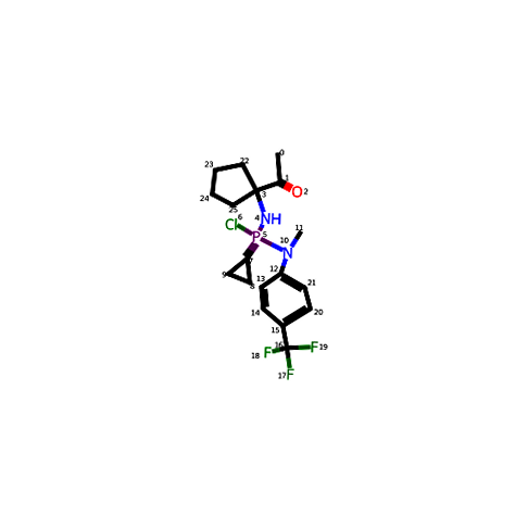 CC(=O)C1(NP(Cl)(=C2CC2)N(C)c2ccc(C(F)(F)F)cc2)CCCC1